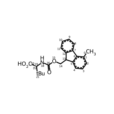 Cc1cccc2c1-c1ccccc1C2COC(=O)N[C@H](C(=O)O)C(C)(C)C